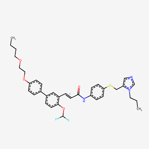 CCCCOCCOc1ccc(-c2ccc(OC(F)F)c(/C=C/C(=O)Nc3ccc(SCc4cncn4CCC)cc3)c2)cc1